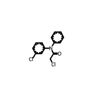 O=C(CCl)N(c1ccccc1)c1cccc(Cl)c1